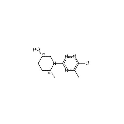 Cc1nc(N2C[C@@H](O)CC[C@H]2C)nnc1Cl